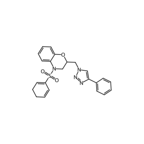 O=S(=O)(C1=CCCC=C1)N1CC(Cn2cc(-c3ccccc3)nn2)Oc2ccccc21